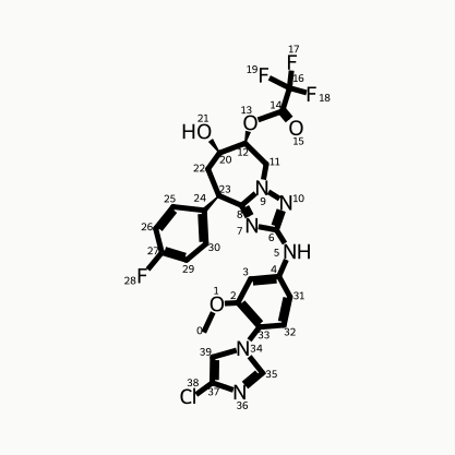 COc1cc(Nc2nc3n(n2)C[C@H](OC(=O)C(F)(F)F)[C@H](O)C[C@@H]3c2ccc(F)cc2)ccc1-n1cnc(Cl)c1